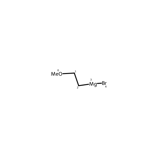 COC[CH2][Mg][Br]